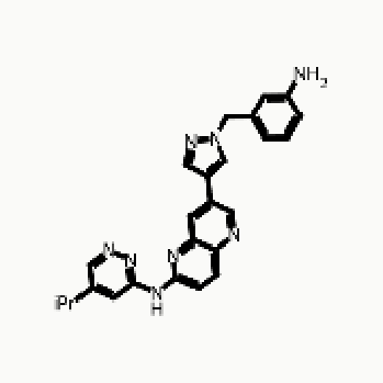 CC(C)c1cnnc(Nc2ccc3ncc(-c4cnn(Cc5cccc(N)c5)c4)cc3n2)c1